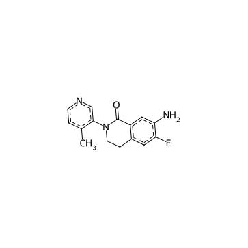 Cc1ccncc1N1CCc2cc(F)c(N)cc2C1=O